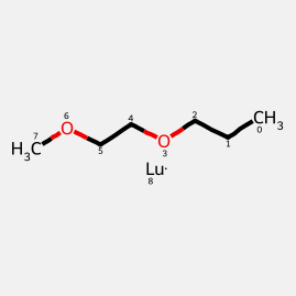 CCCOCCOC.[Lu]